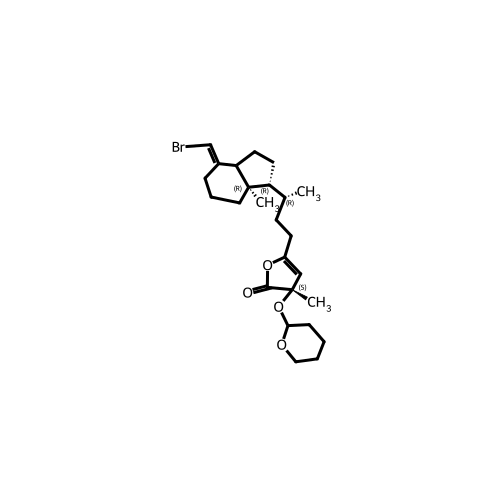 C[C@H](CCC1=C[C@](C)(OC2CCCCO2)C(=O)O1)[C@H]1CCC2C(=CBr)CCC[C@@]21C